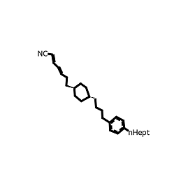 CCCCCCCc1ccc(CCCC[C@H]2CC[C@H](CCC=CC=CC#N)CC2)cc1